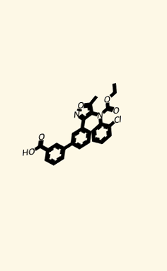 CCOC(=O)N(c1ccccc1Cl)c1c(-c2cccc(-c3cccc(C(=O)O)c3)c2)noc1C